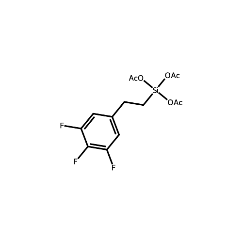 CC(=O)O[Si](CCc1cc(F)c(F)c(F)c1)(OC(C)=O)OC(C)=O